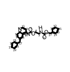 O=C(NCCOC(=O)Nc1ccnc2ccc(Cc3ccccc3)cc12)OCc1ccccc1